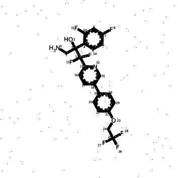 NCC(O)(c1ccc(F)cc1F)C(F)(F)c1ccc(-c2ccc(OCC(F)(F)F)cc2)cn1